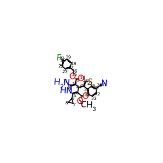 COC(=O)C1=C(C2CC2)NC(N)=C(C(=O)OCc2ccc(F)cc2)C1c1csc2c(C#N)cccc12